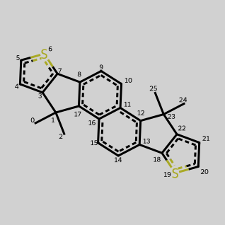 CC1(C)c2ccsc2-c2ccc3c4c(ccc3c21)-c1sccc1C4(C)C